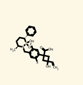 C=CC1(O)CC(C(=O)O)(c2cc(F)c(CN3[C@@H](C)CC[C@H](c4ccccc4)S3(O)O)cc2F)C1